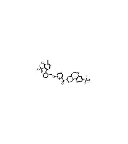 O=C(c1cccc(OCC2CCCN2c2cn[nH]c(=O)c2C(F)(F)F)n1)N1CCN2c3ncc(C(F)(F)F)cc3OCCC2C1